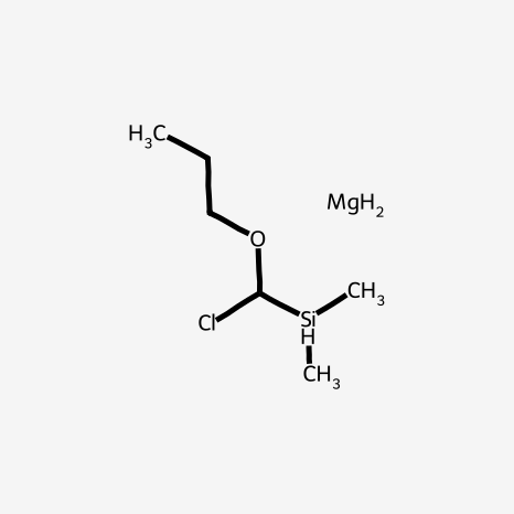 CCCOC(Cl)[SiH](C)C.[MgH2]